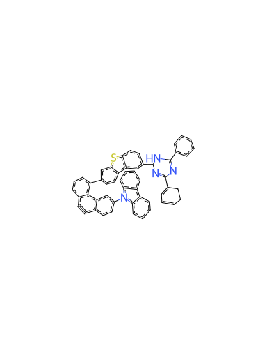 c1c2ccc(-n3c4ccccc4c4ccccc43)cc2c2c(-c3ccc4c(c3)sc3ccc(C5N=C(C6=CC=CCC6)N=C(c6ccccc6)N5)cc34)cccc2c#1